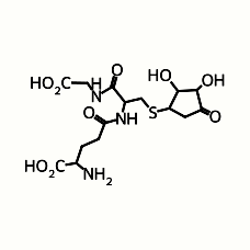 NC(CCC(=O)NC(CSC1CC(=O)C(O)C1O)C(=O)NCC(=O)O)C(=O)O